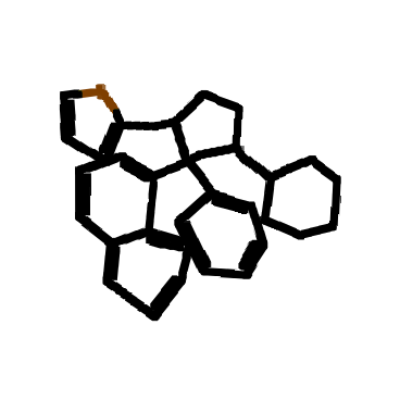 c1ccc(C2(c3cccc4ccccc34)[C](C3CCCCC3)CCC2c2cccs2)cc1